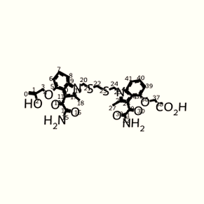 C=C(O)COc1cccc2c1c(C(=O)C(N)=O)c(C)n2CSCSCn1c(C)c(C(=O)C(N)=O)c2c(OCC(=O)O)cccc21